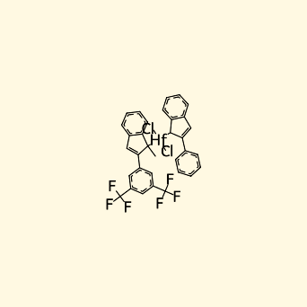 C[C]1([Hf]([Cl])([Cl])[CH]2C(c3ccccc3)=Cc3ccccc32)C(c2cc(C(F)(F)F)cc(C(F)(F)F)c2)=Cc2ccccc21